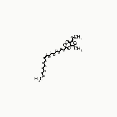 CCCCCCCC/C=C\CCCCCCCC(=O)OC1=C(C)OC(CC)C1=O